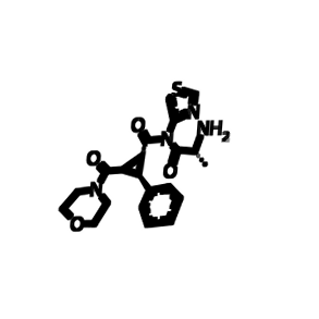 C[C@@H](N)C(=O)N(C(=O)[C@H]1C(C(=O)N2CCOCC2)[C@@H]1c1ccccc1)c1cscn1